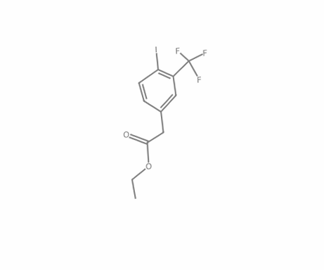 CCOC(=O)Cc1ccc(I)c(C(F)(F)F)c1